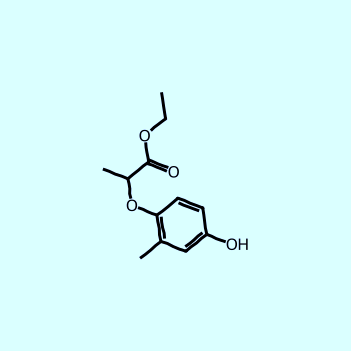 CCOC(=O)C(C)Oc1ccc(O)cc1C